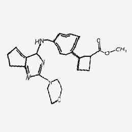 COC(=O)C1CCC1c1cccc(NC2N=C(N3CCOCC3)N=C3CCC=C32)c1